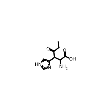 CCC(=O)C(c1c[nH]cn1)C(N)C(=O)O